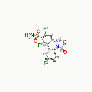 NS(=O)(=O)c1c(F)cc(-c2coc(=O)n2-c2ccc(F)cc2)cc1F